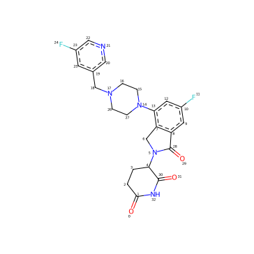 O=C1CCC(N2Cc3c(cc(F)cc3N3CCN(Cc4cncc(F)c4)CC3)C2=O)C(=O)N1